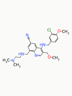 COCc1cnc2c(CNCCN(C)C)cc(C#N)cc2c1NCc1ccc(OC)c(Cl)c1